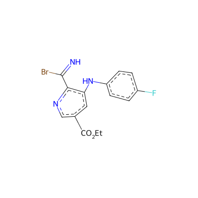 CCOC(=O)c1cnc(C(=N)Br)c(Nc2ccc(F)cc2)c1